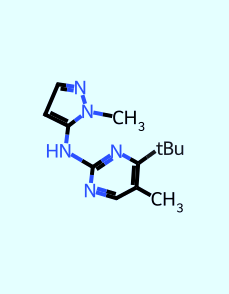 Cc1cnc(Nc2ccnn2C)nc1C(C)(C)C